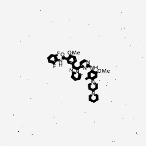 COc1cc(N2CCC(N3CCCCC3)CC2)c(C)cc1Nc1nccc(-c2c(-c3ccc(OC)c(C(=O)Nc4c(F)cccc4F)c3)nc3ccccn23)n1